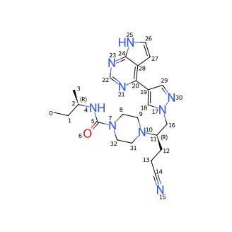 CC[C@@H](C)NC(=O)N1CCN([C@H](CCC#N)Cn2cc(-c3ncnc4[nH]ccc34)cn2)CC1